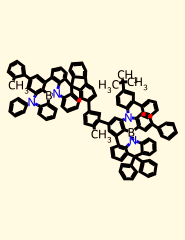 Cc1ccccc1-c1cc2c3c(c1)N(c1ccccc1)c1ccccc1B3N1c3ccccc3C3(c4ccccc4-c4ccc(-c5ccc(C)c(-c6cc7c8c(c6)N(c6ccc(C(C)(C)C)cc6-c6ccccc6)c6ccc(-c9ccccc9)cc6B8N6c8ccccc8C(c8ccccc8)(c8ccccc8)c8cccc-7c86)c5)cc43)c3cccc-2c31